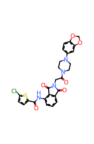 O=C(Nc1cccc2c1C(=O)N(CC(=O)N1CCN(c3ccc4c(c3)OCO4)CC1)C2=O)c1ccc(Cl)s1